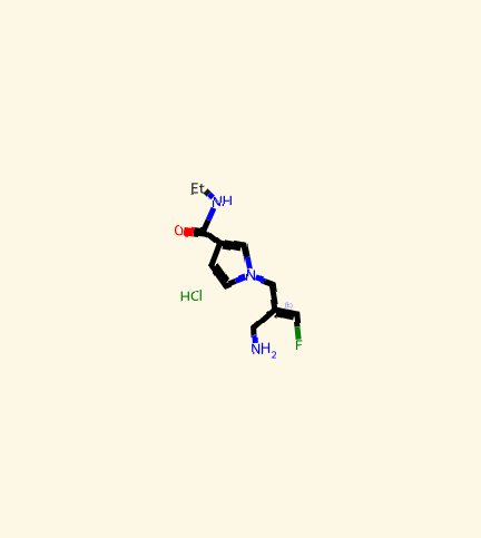 CCNC(=O)c1ccn(C/C(=C/F)CN)c1.Cl